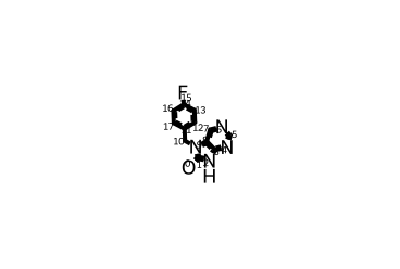 O=c1[nH]c2ncncc2n1Cc1ccc(F)cc1